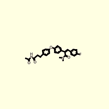 CC(=O)NC(=O)CCc1ccc(Oc2ccc(/C(=C/c3ccc(F)cc3)C(=O)N(C)C)cc2)cc1